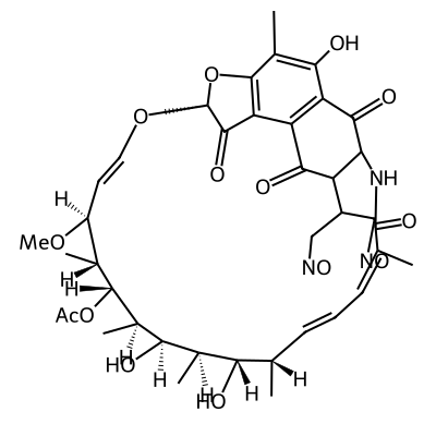 CO[C@H]1/C=C/O[C@@]2(C)Oc3c(C)c(O)c4c(c3C2=O)C(=O)C(C(CN=O)CN=O)C(NC(=O)/C(C)=C\C=C\[C@H](C)[C@H](O)[C@@H](C)[C@@H](O)[C@@H](C)[C@H](OC(C)=O)[C@@H]1C)C4=O